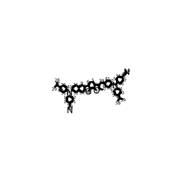 Cc1oc2c(ccc3c4cc5ccc(N(c6ccc(C#N)cc6)c6ccc(C(C)C)cc6)cc5cc4oc32)c1/C=C1/C=CC(N(c2ccc(C#N)cc2)c2ccc(C(C)C)cc2)=CC1